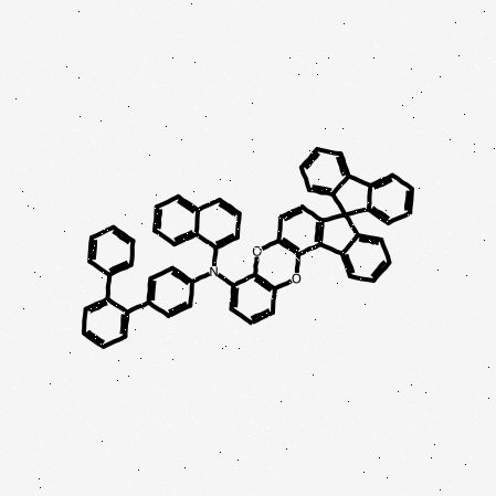 c1ccc(-c2ccccc2-c2ccc(N(c3cccc4c3Oc3ccc5c(c3O4)-c3ccccc3C53c4ccccc4-c4ccccc43)c3cccc4ccccc34)cc2)cc1